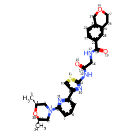 C[C@@H]1CN(c2cccc(-c3csc(NC(=O)CNC(=O)c4ccc5c(c4)CCOC5)n3)n2)C[C@H](C)O1